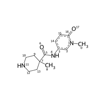 Cn1cc(NC(=O)C2(C)CCNCC2)ccc1=O